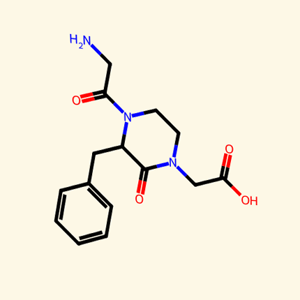 NCC(=O)N1CCN(CC(=O)O)C(=O)C1Cc1ccccc1